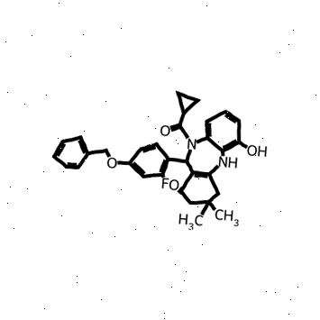 CC1(C)CC(=O)C2=C(C1)Nc1c(O)cccc1N(C(=O)C1CC1)C2c1ccc(OCc2ccccc2)cc1F